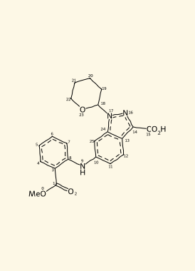 COC(=O)c1ccccc1Nc1ccc2c(C(=O)O)nn(C3CCCCO3)c2c1